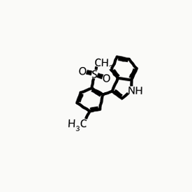 Cc1ccc(S(C)(=O)=O)c(-c2c[nH]c3ccccc23)c1